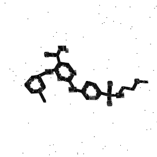 COCCNS(=O)(=O)c1ccc(Nc2ncc(C(N)=O)c(Nc3cccc(C)c3)n2)cc1